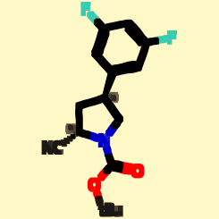 CC(C)(C)OC(=O)N1C[C@H](c2cc(F)cc(F)c2)C[C@H]1C#N